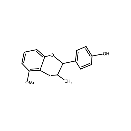 COc1cccc2c1SC(C)C(c1ccc(O)cc1)O2